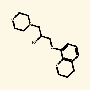 OC(COc1cccc2c1SCCC2)CN1CCOCC1